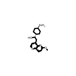 COc1ccc2nccc(CC(O)[C@H]3CC[C@H]([AsH2])CC3)c2n1